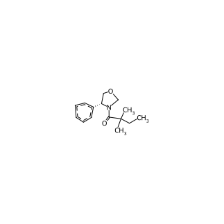 CCC(C)(C)C(=O)N1COC[C@H]1c1ccccc1